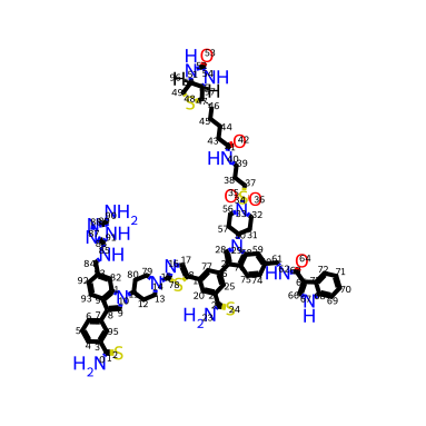 NC(=S)c1cccc(-c2cn(C3CCN(c4ncc(-c5cc(C(N)=S)cc(-c6cn(C7CCN(S(=O)(=O)CCCNC(=O)CCCC[C@@H]8SC[C@@H]9NC(=O)N[C@@H]98)CC7)c7cc(CNC(=O)c8c[nH]c9ccccc89)ccc67)c5)s4)CC3)c3cc(CNc4nnc(N)[nH]4)ccc23)c1